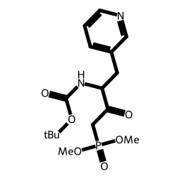 COP(=O)(CC(=O)C(Cc1cccnc1)NC(=O)OC(C)(C)C)OC